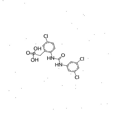 O=C(Nc1cc(Cl)cc(Cl)c1)Nc1ccc(Cl)cc1CP(=O)(O)O